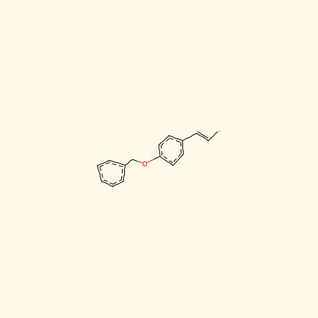 [CH2]/C=C/c1ccc(OCc2ccccc2)cc1